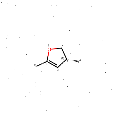 CC1=C[C@@H](C)CO1